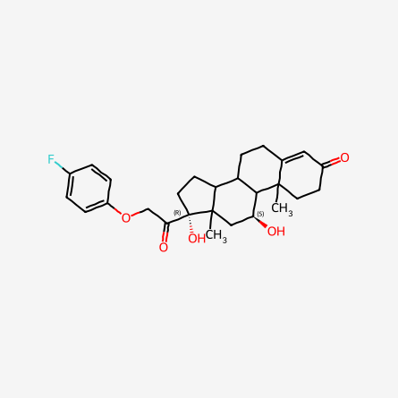 CC12CCC(=O)C=C1CCC1C2[C@@H](O)CC2(C)C1CC[C@]2(O)C(=O)COc1ccc(F)cc1